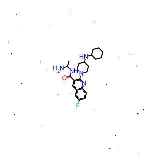 CC(N)NC(=O)c1cc2cc(F)ccc2nc1N1CCC(NC2CCCCC2)CC1